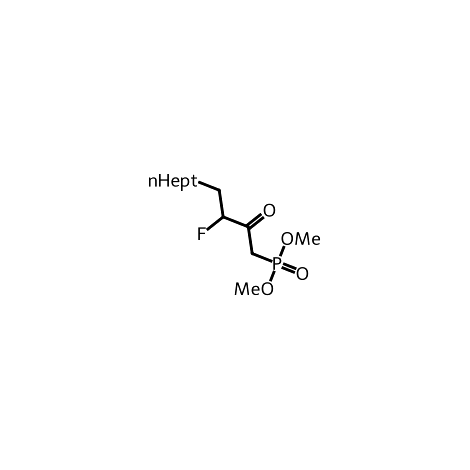 CCCCCCCCC(F)C(=O)CP(=O)(OC)OC